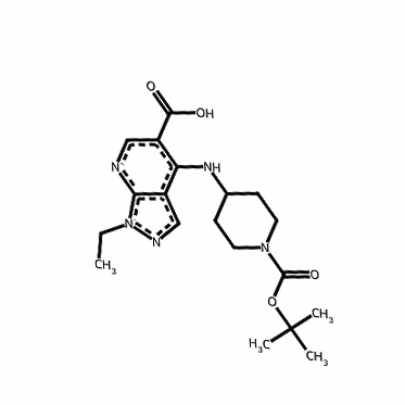 CCn1ncc2c(NC3CCN(C(=O)OC(C)(C)C)CC3)c(C(=O)O)cnc21